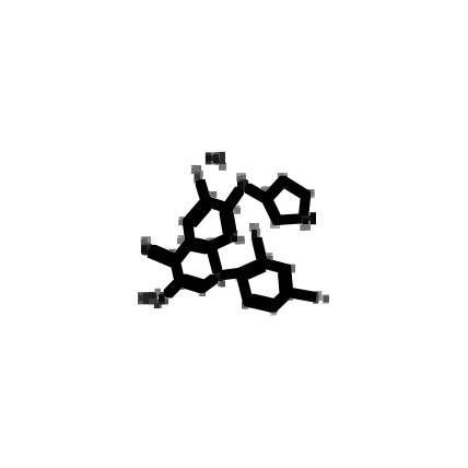 Cl.O=C(O)c1cn(-c2ccc(F)cc2F)c2nc(OC3CCNC3)c(F)cc2c1=O